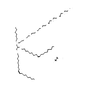 CCCCCCCC/C=C\CCCCCCCCOCC(CN(CCCCCCCC)C(=O)CCOCCOCCOCCOCCOC(=O)CNCCOC(=O)CNCCOC)OCCCCCCCC/C=C\CCCCCCCC.O=C(O)C(F)(F)F